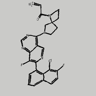 C=CC(=O)N1CCC12CCN(c1ncnc3c(F)c(-c4cccc5ccc(F)c(Cl)c45)ncc13)C2